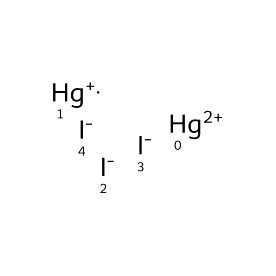 [Hg+2].[Hg+].[I-].[I-].[I-]